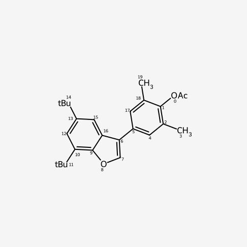 CC(=O)Oc1c(C)cc(-c2coc3c(C(C)(C)C)cc(C(C)(C)C)cc23)cc1C